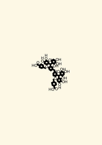 O=C(O)c1ccc(COc2ccc(Cc3ccc(OCc4ccc(C(=O)O)cc4)c(C(c4ccc(O)c(O)c4O)c4ccc(O)c(O)c4O)c3)cc2C(c2ccc(O)c(O)c2O)c2ccc(O)c(O)c2O)cc1